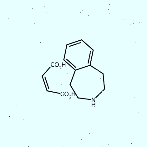 O=C(O)/C=C\C(=O)O.c1ccc2c(c1)CCNCC2